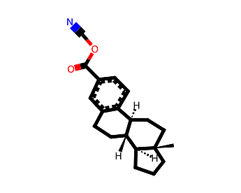 C[C@@]12CCC[C@H]1[C@@H]1CCc3cc(C(=O)OC#N)ccc3[C@H]1CC2